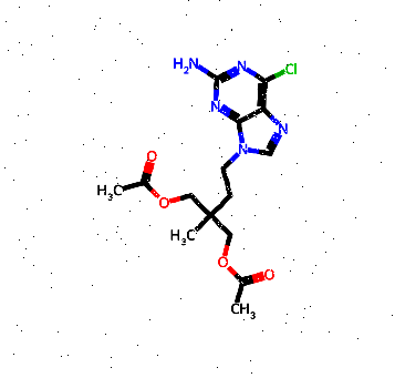 CC(=O)OCC(C)(CCn1cnc2c(Cl)nc(N)nc21)COC(C)=O